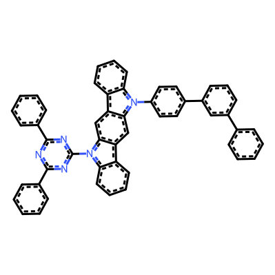 c1ccc(-c2cccc(-c3ccc(-n4c5ccccc5c5cc6c(cc54)c4ccccc4n6-c4nc(-c5ccccc5)nc(-c5ccccc5)n4)cc3)c2)cc1